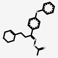 CC(=O)O/N=C(\CCC1=CCCCC1)c1ccc(Sc2ccccc2)cc1